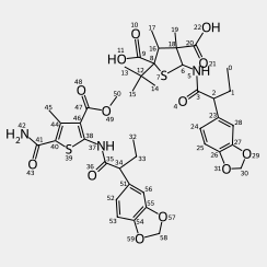 CCC(C(=O)NC1SC(C(=O)O)(C(C)(C)C)C(C)C1(C)C(=O)O)c1ccc2c(c1)OCO2.CCC(C(=O)Nc1sc(C(N)=O)c(C)c1C(=O)OC)c1ccc2c(c1)OCO2